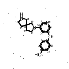 Oc1ccc(Oc2cncc(N3CCC4(CCNC4)C3)c2)cc1